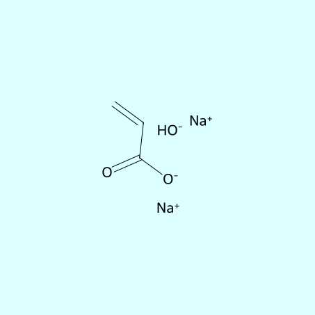 C=CC(=O)[O-].[Na+].[Na+].[OH-]